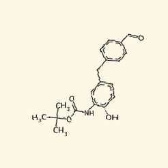 CC(C)(C)OC(=O)Nc1cc(Cc2ccc(C=O)cc2)ccc1O